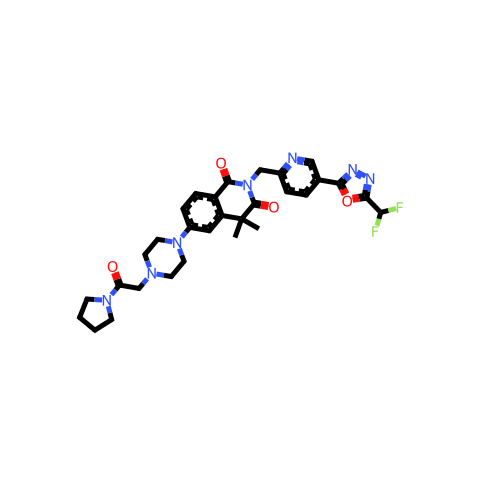 CC1(C)C(=O)N(Cc2ccc(-c3nnc(C(F)F)o3)cn2)C(=O)c2ccc(N3CCN(CC(=O)N4CCCC4)CC3)cc21